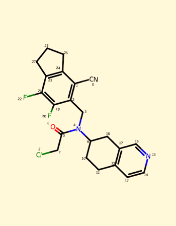 N#Cc1c(CN(C(=O)CCl)C2CCc3ccncc3C2)c(F)c(F)c2c1CCC2